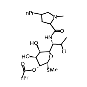 [CH2]CCC(=O)O[C@@H]1[C@@H](O)[C@@H](O)[C@@H]([C@H](NC(=O)C2CC(CCC)CN2C)C(C)Cl)O[C@@H]1SC